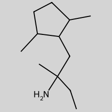 CCC(C)(N)CC1C(C)CCC1C